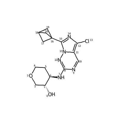 O[C@@H]1COCC[C@H]1Nc1ncc2c(Cl)nc(C34CC(C3)C4)n2n1